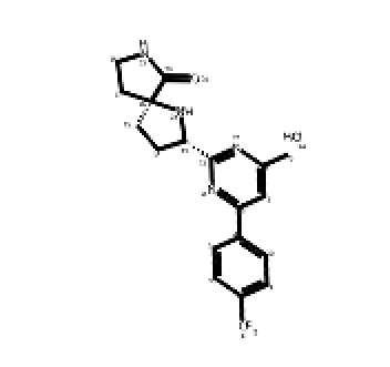 Cc1cc(-c2ccc(C(F)(F)F)cc2)nc([C@@H]2CC[C@@]3(CCNC3=O)N2)n1.Cl